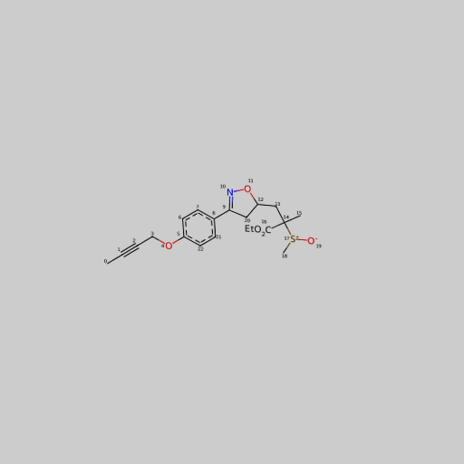 CC#CCOc1ccc(C2=NOC(CC(C)(C(=O)OCC)[S+](C)[O-])C2)cc1